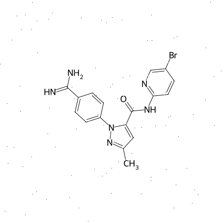 Cc1cc(C(=O)Nc2ccc(Br)cn2)n(-c2ccc(C(=N)N)cc2)n1